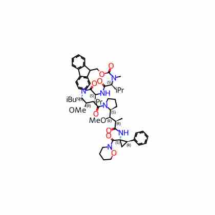 CC[C@H](C)[C@@H]([C@@H](CC(=O)N1CCC[C@H]1[C@H](OC)[C@@H](C)C(=O)N[C@@]1(C(=O)N2CCCCO2)C[C@@H]1c1ccccc1)OC)N(C)C(=O)[C@@H](NC(=O)[C@H](C(C)C)N(C)C(=O)OCC1c2ccccc2-c2ccccc21)C(C)C